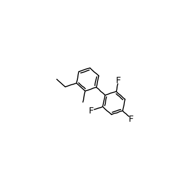 CCc1cccc(-c2c(F)cc(F)cc2F)c1C